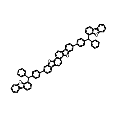 c1ccc(C(c2ccc(-c3ccc4c(c3)oc3c4ccc4c3ccc3c5ccc(-c6ccc(C(c7ccccc7)c7cccc8c7oc7ccccc78)cc6)cc5oc34)cc2)c2cccc3c2oc2ccccc23)cc1